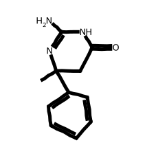 CC1(c2ccccc2)CC(=O)NC(N)=N1